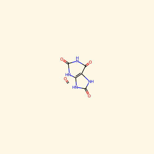 C=O.O=c1[nH]c(=O)c2[nH]c(=O)[nH]c2[nH]1